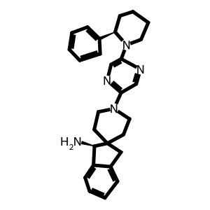 N[C@@H]1c2ccccc2CC12CCN(c1cnc(N3CCCC[C@@H]3c3ccccc3)cn1)CC2